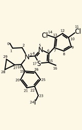 CCCN(c1nc(-c2ccc(Cl)cc2Cl)c(C)s1)C(c1ccc(CI)cc1)C1CC1